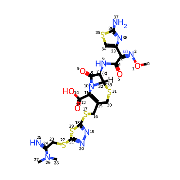 CO/N=C(\C(=O)N[C@@H]1C(=O)N2C(C(=O)O)=C(CSc3nnc(SCC(=N)N(C)C)s3)CS[C@@H]12)c1csc(N)n1